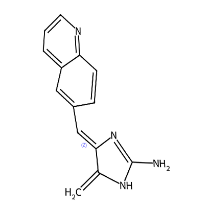 C=c1[nH]c(N)n/c1=C\c1ccc2ncccc2c1